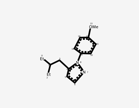 CCC(CC)Cc1ccnn1-c1ccc(OC)cc1